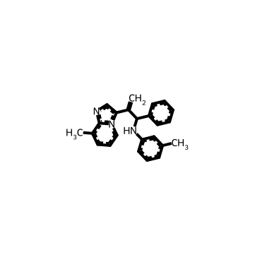 C=C(c1cnc2c(C)cccn12)C(Nc1cccc(C)c1)c1ccccc1